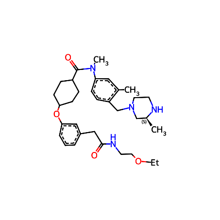 CCOCCNC(=O)Cc1cccc(OC2CCC(C(=O)N(C)c3ccc(CN4CCN[C@@H](C)C4)c(C)c3)CC2)c1